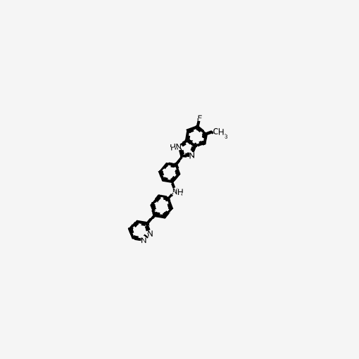 Cc1cc2nc(-c3cccc(Nc4ccc(-c5cccnn5)cc4)c3)[nH]c2cc1F